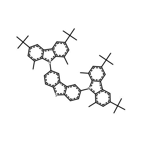 Cc1cc(C(C)(C)C)cc2c3cc(C(C)(C)C)cc(C)c3n(-c3ccc4sc5ccc(-n6c7c(C)cc(C(C)(C)C)cc7c7cc(C(C)(C)C)cc(C)c76)cc5c4c3)c12